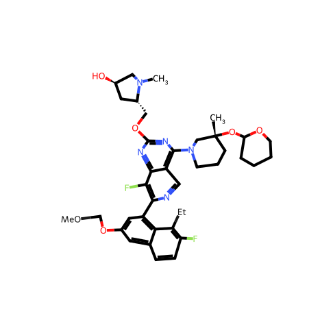 CCc1c(F)ccc2cc(OCOC)cc(-c3ncc4c(N5CCC[C@@](C)(OC6CCCCO6)C5)nc(OC[C@@H]5C[C@@H](O)CN5C)nc4c3F)c12